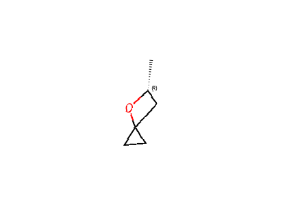 C[C@@H]1CC2(CC2)O1